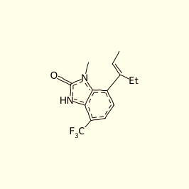 CC=C(CC)c1ccc(C(F)(F)F)c2[nH]c(=O)n(C)c12